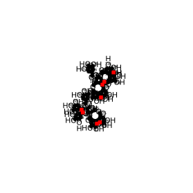 O=C(O[C@@H]1O[C@@H]2COC(=O)c3cc(Oc4c(C(=O)O[C@@H]5O[C@@H]6COC(=O)c7cc(O)c(O)c(O)c7-c7c(cc(O)c(O)c7O)C(=O)O[C@H]6[C@H](OC(=O)c6cc(O)c(O)c(O)c6)[C@H]5OC(=O)c5cc(O)c(O)c(O)c5)cc(O)c(O)c4O)c(O)c(O)c3-c3c(cc(O)c(O)c3O)C(=O)O[C@H]2[C@@H]2OC(=O)c3cc(O)c(O)c(O)c3-c3c(cc(O)c(O)c3O)C(=O)O[C@@H]12)c1cc(O)c(O)c(O)c1